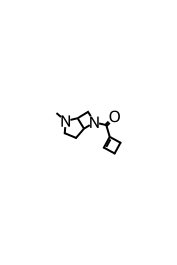 CN1CCC2C1CN2C(=O)C1=CCC1